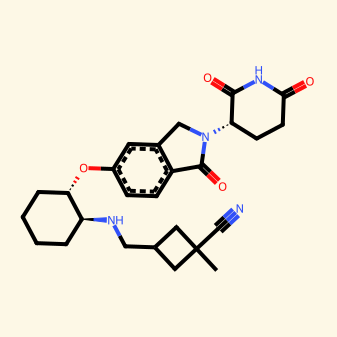 CC1(C#N)CC(CN[C@H]2CCCC[C@@H]2Oc2ccc3c(c2)CN([C@H]2CCC(=O)NC2=O)C3=O)C1